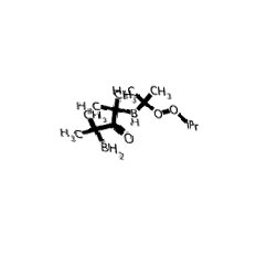 BC(C)(C)C(=O)C(C)(C)BC(C)(C)OOC(C)C